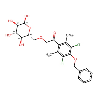 COc1c(Cl)c(OCc2ccccc2)c(Cl)c(C)c1C(=O)COC[C@H]1O[C@H](O)[C@H](O)[C@@H](O)[C@@H]1O